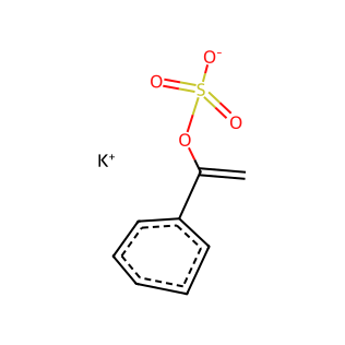 C=C(OS(=O)(=O)[O-])c1ccccc1.[K+]